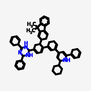 CC1(C)C2=CC(C3CC(C4NC(C5C=CC=CC5)=NC(c5ccccc5)N4)=CC=C3C3=CC(C4=CC(C5CCCCC5)NC(C5=CC=CCC5)=C4)=CCC3)CC=C2c2ccccc21